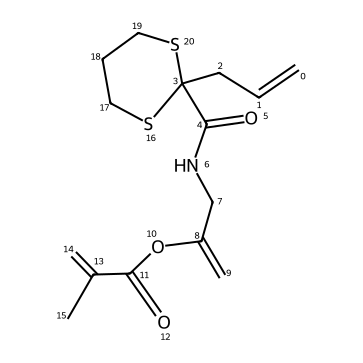 C=CCC1(C(=O)NCC(=C)OC(=O)C(=C)C)SCCCS1